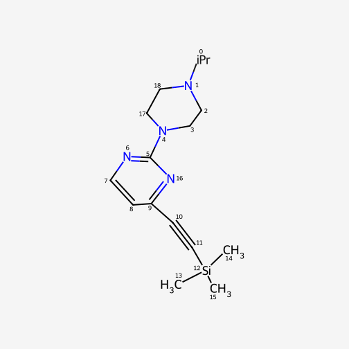 CC(C)N1CCN(c2nccc(C#C[Si](C)(C)C)n2)CC1